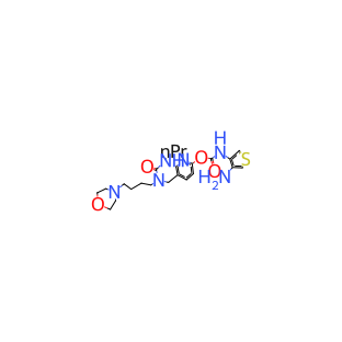 CCCNC(=O)N(CCCCN1CCOCC1)Cc1ccc(OC(=O)Nc2cscc2N)nc1